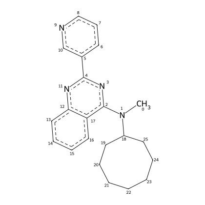 CN(c1nc(-c2cccnc2)nc2ccccc12)C1CCCCCCC1